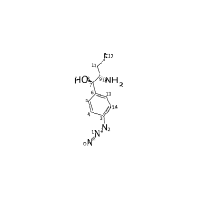 [N-]=[N+]=Nc1ccc([C@@H](O)[C@@H](N)CF)cc1